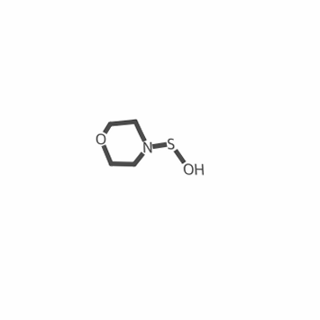 OSN1CCOCC1